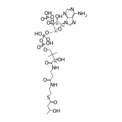 CC(O)CC(=O)SCCNC(=O)CCNC(=O)[C@H](O)C(C)(C)COP(=O)(O)OP(=O)(O)OC[C@H]1O[C@H](n2cnc3c(N)ncnc32)[C@H](O)[C@@H]1OP(=O)(O)O